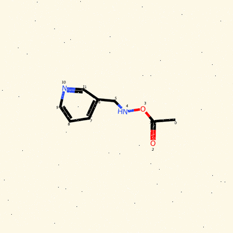 CC(=O)ONCc1cccnc1